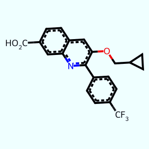 O=C(O)c1ccc2cc(OCC3CC3)c(-c3ccc(C(F)(F)F)cc3)nc2c1